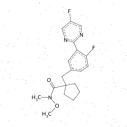 CON(C)C(=O)C1(Cc2ccc(F)c(-c3ncc(F)cn3)c2)CCCC1